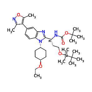 CCO[C@H]1CC[C@H](n2c([C@@H](CCO[Si](C)(C)C(C)(C)C)NC(=O)OC(C)(C)C)nc3cc(-c4c(C)noc4C)ccc32)CC1